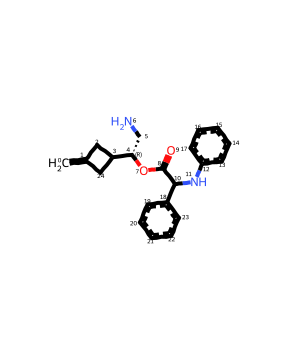 C=C1CC([C@H](CN)OC(=O)C(Nc2ccccc2)c2ccccc2)C1